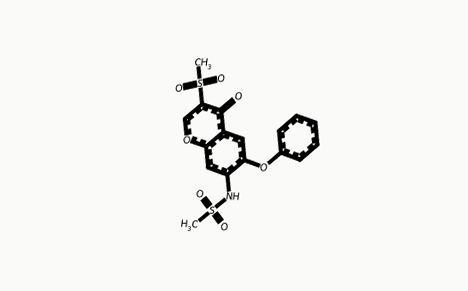 CS(=O)(=O)Nc1cc2occ(S(C)(=O)=O)c(=O)c2cc1Oc1ccccc1